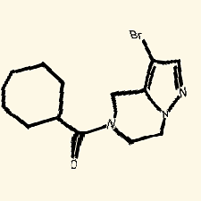 O=C(C1CCCCC1)N1CCn2ncc(Br)c2C1